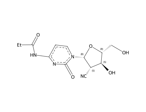 CCC(=O)Nc1ccn([C@@H]2O[C@H](CO)[C@@H](O)[C@@H]2C#N)c(=O)n1